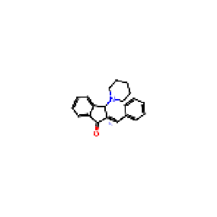 O=C1/C(=C/c2ccccc2)C(N2CCCCC2)c2ccccc21